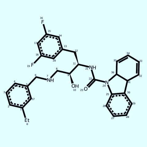 CCc1cccc(CNC[C@H](O)[C@@H](Cc2cc(F)cc(F)c2)NC(=O)N2c3ccccc3C3C=CC=CC32)c1